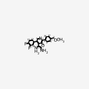 COCc1ccc(-c2ncc(-c3ccc(F)c(F)c3)c3c(N)c(N)oc23)cc1